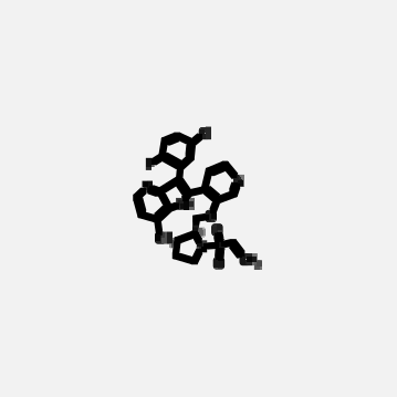 C=CS(=O)(=O)N1CCC[C@H]1COc1cnccc1-c1[nH]c2c(C)ccnc2c1-c1cc(Cl)ccc1F